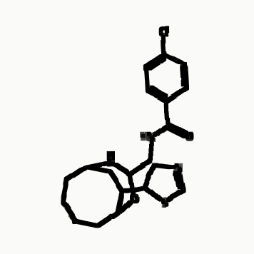 O=C(NCC1NC2CCCCC(O1)C(C1CN=CS1)C2)c1ccc(Cl)cc1